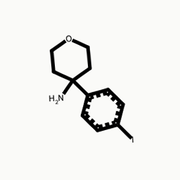 NC1(c2ccc(I)cc2)CCOCC1